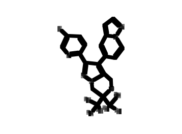 [2H]C([2H])([2H])C1(C([2H])([2H])[2H])Cn2nc(-c3ccc(F)cn3)c(-c3ccn4nccc4c3)c2CO1